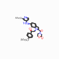 COc1ccc(C(=O)Cn2c(C(=O)N3CCOC(=O)C3)cc3ccc(Nc4ccnc(OC)c4)cc32)cc1